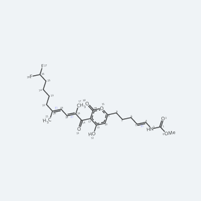 COC(=O)N/C=C/CCCc1cc(O)c(C(=O)/C(C)=C/C=C(\C)CCCCC(F)F)c(=O)o1